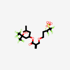 C=C(COCCC(F)(F)C(F)(F)S(=O)(=O)O)C(=O)OC(CC(C)C)CC(O)(C(F)(F)F)C(F)(F)F